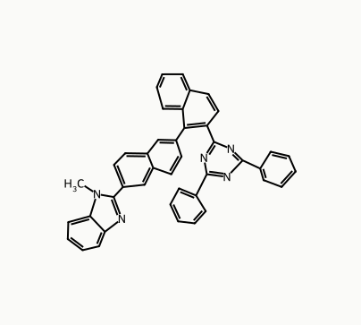 Cn1c(-c2ccc3cc(-c4c(-c5nc(-c6ccccc6)nc(-c6ccccc6)n5)ccc5ccccc45)ccc3c2)nc2ccccc21